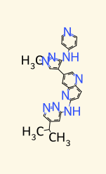 CC(C)c1cnnc(Nc2ccc3ncc(-c4cn(C)nc4Nc4ccncc4)cc3n2)c1